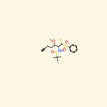 C#CCCC(OC)C(N[S+]([O-])C(C)(C)C)C(F)S(=O)(=O)c1ccccc1